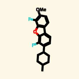 COc1ccc2c(oc3c(F)c(C4CCC(C)CC4)ccc32)c1F